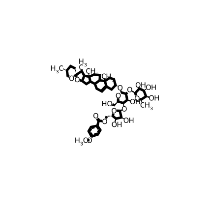 COc1ccc(C(=O)OC[C@@H]2O[C@@H](O[C@H]3[C@H](O)C(O[C@@H]4O[C@@H](C)[C@H](O)[C@@H](O)[C@H]4O)[C@H](O[C@H]4CC[C@@]5(C)C(=CCC6C7CC8O[C@]9(CC[C@@H](C)CO9)[C@@H](C)C8[C@@]7(C)CCC65)C4)O[C@@H]3CO)[C@H](O)[C@H]2O)cc1